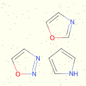 c1cc[nH]c1.c1cocn1.c1conn1